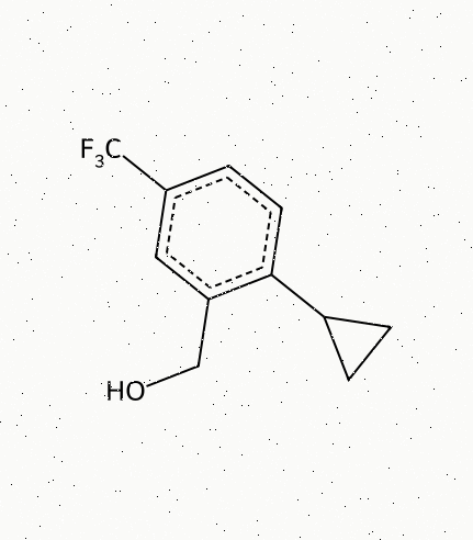 OCc1cc(C(F)(F)F)ccc1C1CC1